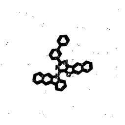 c1ccc(-c2cccc(-c3nc(-n4c5ccccc5c5cc6ccccc6cc54)c4oc5cc6ccccc6cc5c4n3)c2)cc1